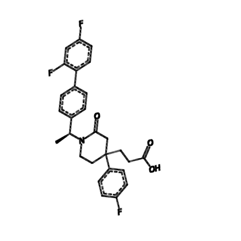 C[C@@H](c1ccc(-c2ccc(F)cc2F)cc1)N1CCC(CCC(=O)O)(c2ccc(F)cc2)CC1=O